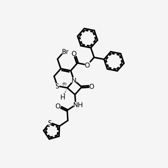 O=C(Cc1cccs1)NC1C(=O)N2C(C(=O)OC(c3ccccc3)c3ccccc3)=C(CBr)CS[C@H]12